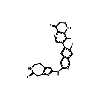 Cc1c(-c2cc3cc(Nc4cc5n(n4)CC(=O)NCC5)ncc3cc2F)cnc2c1NCCC2=O